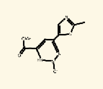 COC(=O)C1=CC(c2cnc(C)s2)=N[S+]([O-])N1